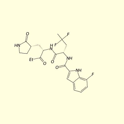 CCC(=O)[C@H](C[C@@H]1CCNC1=O)NC(=O)[C@H](CC(C)(F)F)NC(=O)c1cc2cccc(F)c2[nH]1